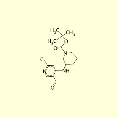 CC(C)(C)OC(=O)N1CCC[C@@H](Nc2cc(Cl)ncc2C=O)C1